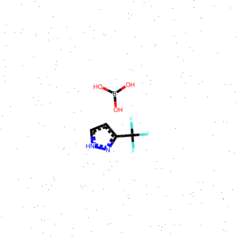 FC(F)(F)c1cc[nH]n1.OB(O)O